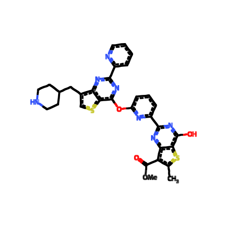 COC(=O)c1c(C)sc2c(O)nc(-c3cccc(Oc4nc(-c5ccccn5)nc5c(CC6CCNCC6)csc45)n3)nc12